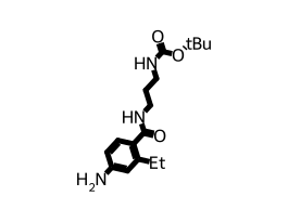 CCc1cc(N)ccc1C(=O)NCCCNC(=O)OC(C)(C)C